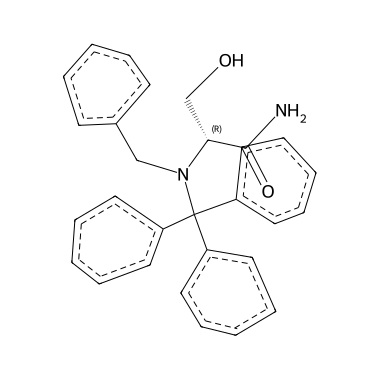 NC(=O)[C@@H](CO)N(Cc1ccccc1)C(c1ccccc1)(c1ccccc1)c1ccccc1